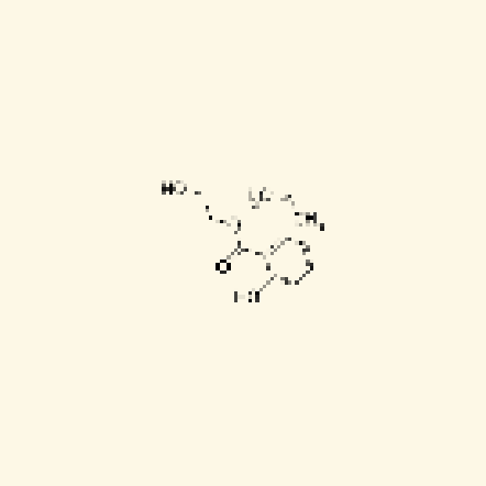 C=CC.O=C(OCCO)c1ccccc1O